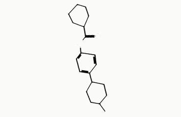 CC1CCC(c2ccc(OC(=O)C3CCCCC3)cc2)CC1